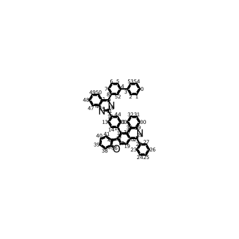 c1ccc(-c2cccc(-c3nc(-c4ccc(-c5c6c(cc7c(-c8ccccc8)nc8ccccc8c57)oc5ccccc56)cc4)nc4ccccc34)c2)cc1